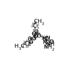 Cc1ccc(COP(=O)(COCCn2cnc3c(=O)[nH]c(N)nc32)OCOC(=O)Oc2ccc(C)cc2)cc1